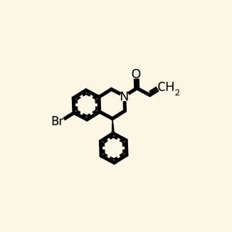 C=CC(=O)N1Cc2ccc(Br)cc2[C@H](c2ccccc2)C1